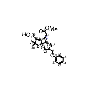 COC(=O)/C=C1/[C@@H](NC(=O)COc2ccccc2)[C@H]2SC(C)(C)[C@H](C(=O)O)N12